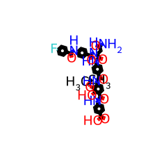 CC(C)Oc1c(NC(=O)c2ccc(NC(=O)C(CC(N)=O)NC(=O)c3ccc(NC(=O)c4ccc(F)cc4)cc3)cc2)ccc(C(=O)Nc2ccc(C(=O)O)cc2)c1O